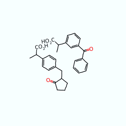 CC(C(=O)O)c1ccc(CC2CCCC2=O)cc1.CC(C(=O)O)c1cccc(C(=O)c2ccccc2)c1